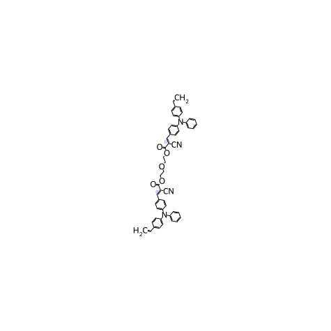 C=Cc1ccc(N(c2ccccc2)c2ccc(/C=C(\C#N)C(=O)OCCOCCOC(=O)/C(C#N)=C/c3ccc(N(c4ccccc4)c4ccc(C=C)cc4)cc3)cc2)cc1